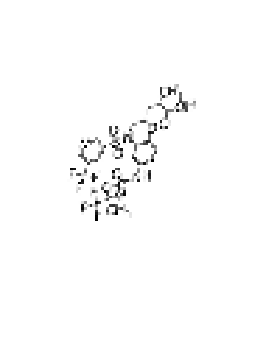 C[C@@H](C[C@H]1CN(S(=O)(=O)c2cncc(C(F)(F)F)c2)c2cc(NC(=O)OC(C)(C)C(F)(F)F)ccc2O1)C(=O)O